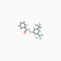 O=C(CCc1cc(C(F)(F)F)cc(C(F)(F)F)c1)c1ccccc1